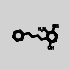 Nc1c(O)ccc(O)c1CCCCc1ccccc1